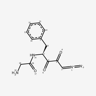 [N-]=[N+]=CC(=O)C(=O)[C@H](Cc1ccccc1)NC(=O)CN